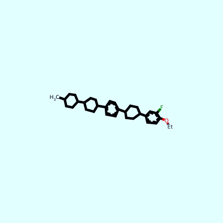 CCOc1ccc(C2CCC(c3ccc(C4CCC(C5CCC(C)CC5)CC4)cc3)CC2)cc1F